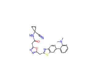 CN(C)c1ccccc1-c1ccc2nc(Cc3nnc(CC(=O)NC4(C#N)CC4)o3)sc2c1